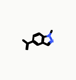 C=C(C)c1ccc2c(cnn2C)c1